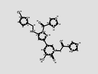 O=C(Cn1cc(-c2cc(NCc3ccc(Cl)s3)n(C(=O)c3cocn3)n2)cc(O)c1=O)c1cncs1